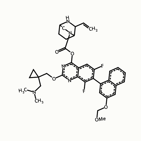 C=CC1NC2CCC1N(C(=O)Oc1nc(OCC3(CN(C)C)CC3)nc3c(F)c(-c4cc(OCOC)cc5ccccc45)c(F)cc13)C2